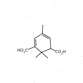 CC1=CC(C(=O)O)C(C)(C)C(C(=O)O)=C1